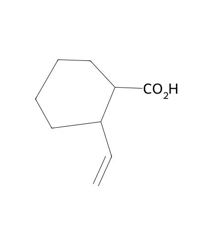 C=CC1CCCCC1C(=O)O